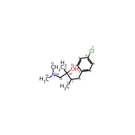 CC(Cc1ccc(Cl)cc1)C(C)(O)CN(C)C